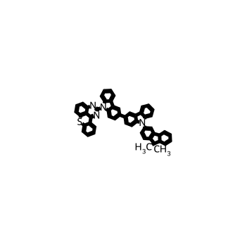 CC1(C)c2ccc(-n3c4ccccc4c4cc(-c5ccc6c(c5)c5ccccc5n6-c5nc6c7c(cccc7n5)Sc5ccccc5-6)ccc43)cc2C2C=CC=CC21